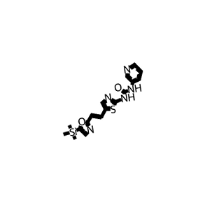 C[Si](C)(C)c1cnc(/C=C/c2cnc(NC(=O)Nc3cccnc3)s2)o1